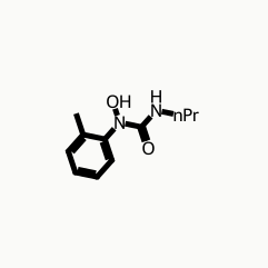 CCCNC(=O)N(O)c1ccccc1C